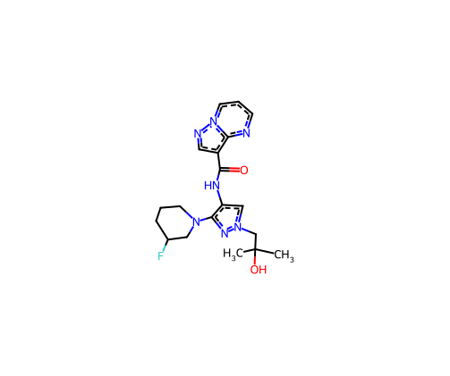 CC(C)(O)Cn1cc(NC(=O)c2cnn3cccnc23)c(N2CCCC(F)C2)n1